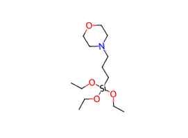 CCO[Si](CCCN1CCOCC1)(OCC)OCC